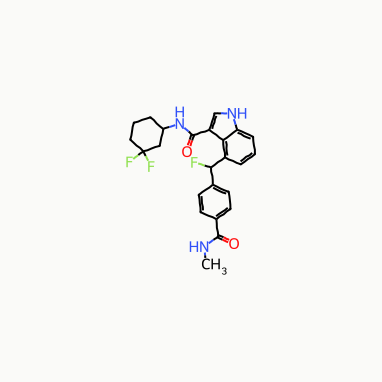 CNC(=O)c1ccc(C(F)c2cccc3[nH]cc(C(=O)NC4CCCC(F)(F)C4)c23)cc1